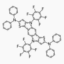 Fc1c(F)c(F)c(-n2c3cc4c5sc(N(c6ccccc6)c6ccccc6)cc5n(-c5c(F)c(F)c(F)c(F)c5F)c4cc3c3sc(N(c4ccccc4)c4ccccc4)cc32)c(F)c1F